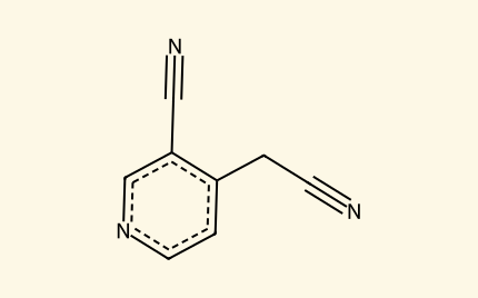 N#CCc1ccncc1C#N